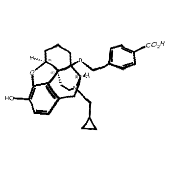 O=C(O)c1ccc(COC23CCC[C@@H]4Oc5c(O)ccc6c5[C@@]42CCN(CC2CC2)[C@@H]3C6)cc1